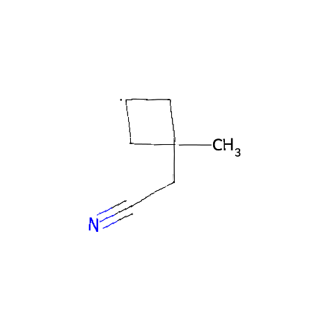 CC1(CC#N)C[CH]C1